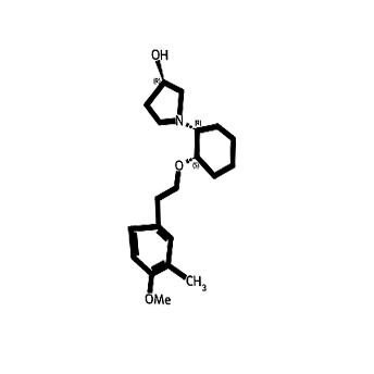 COc1ccc(CCO[C@H]2CCCC[C@H]2N2CC[C@@H](O)C2)cc1C